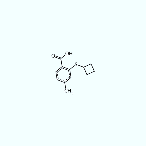 Cc1ccc(C(=O)O)c(SC2CCC2)c1